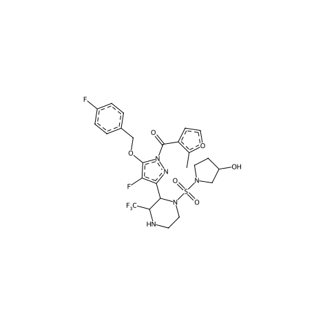 Cc1occc1C(=O)n1nc(C2C(C(F)(F)F)NCCN2S(=O)(=O)N2CCC(O)C2)c(F)c1OCc1ccc(F)cc1